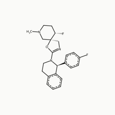 CN1CC[C@H](F)[C@]2(CN=C(N3CCc4ccccc4[C@@H]3c3ccc(F)cc3)O2)C1